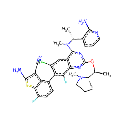 C[C@H](Oc1nc(N(C)[C@H](C)c2cccnc2N)c2cc(Cl)c(-c3ccc(F)c4sc(N)c(C#N)c34)c(F)c2n1)[C@@H]1CCCN1C